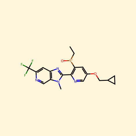 CC[S+]([O-])c1cc(OCC2CC2)cnc1-c1nc2cc(C(F)(F)F)ncc2n1C